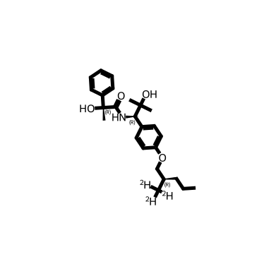 [2H]C([2H])([2H])[C@H](CCC)COc1ccc([C@@H](NC(=O)[C@](C)(O)c2ccccc2)C(C)(C)O)cc1